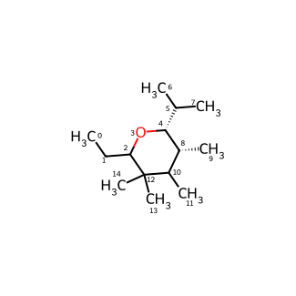 CCC1O[C@H](C(C)C)[C@H](C)C(C)C1(C)C